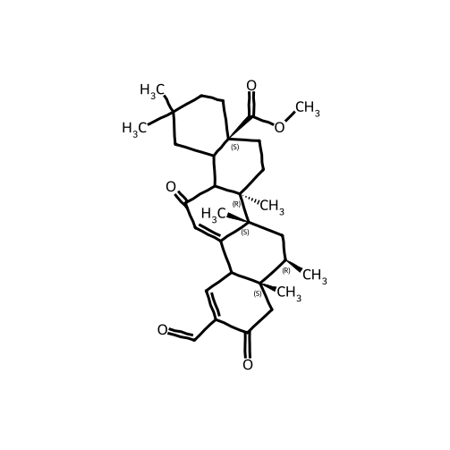 COC(=O)[C@]12CCC(C)(C)CC1C1C(=O)C=C3C4C=C(C=O)C(=O)C[C@@]4(C)[C@H](C)C[C@@]3(C)[C@]1(C)CC2